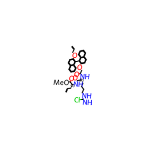 C=CCOc1ccc2ccccc2c1-c1c(OCC(=O)N[C@H](CCCCNC(=N)Cl)C(=O)N[C@@H](CC=C)C(=O)OC)ccc2ccccc12